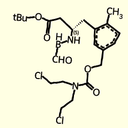 Cc1ccc(COC(=O)N(CCCl)CCCl)cc1C[C@@H](CC(=O)OC(C)(C)C)NBC=O